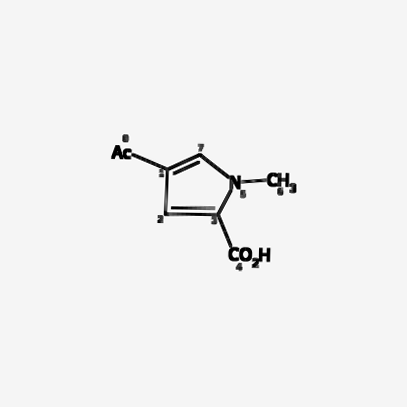 CC(=O)c1cc(C(=O)O)n(C)c1